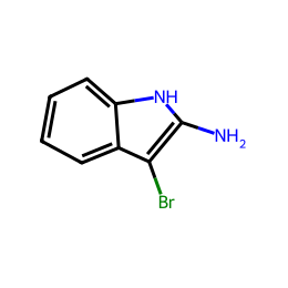 Nc1[nH]c2ccccc2c1Br